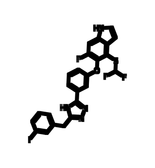 Fc1cc2[nH]ccc2c(SC(F)F)c1Oc1cccc(-c2nnc(Cc3cccc(I)c3)[nH]2)c1